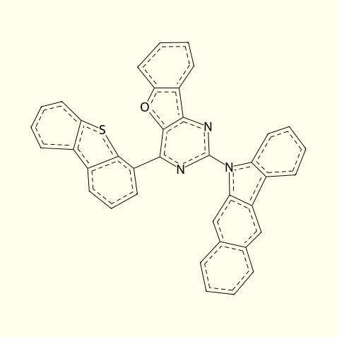 c1ccc2cc3c(cc2c1)c1ccccc1n3-c1nc(-c2cccc3c2sc2ccccc23)c2oc3ccccc3c2n1